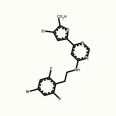 CCc1cc(-c2cc(NCCc3c(F)cc(Br)cc3F)ncn2)sc1C(=O)O